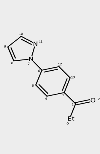 CCC(=O)c1ccc(-n2cccn2)cc1